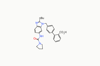 CCCCc1nc2ccc(NC(=O)N3CCCC3)cc2n1Cc1ccc(-c2ccccc2C(=O)O)cc1